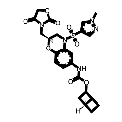 Cn1cc(S(=O)(=O)N2C[C@H](CN3C(=O)COC3=O)Oc3ccc(NC(=O)OC4C[C@@H]5CCC45)cc32)cn1